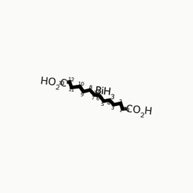 O=C(O)CCCCCCCCCCCCC(=O)O.[BiH3]